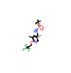 Cc1cc([C@@H](C)N[S@+]([O-])C(C)(C)C)cnc1OCC(F)(F)F